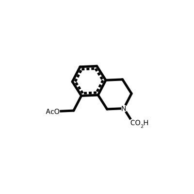 CC(=O)OCc1cccc2c1CN(C(=O)O)CC2